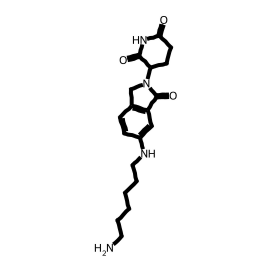 NCCCCCCNc1ccc2c(c1)C(=O)N(C1CCC(=O)NC1=O)C2